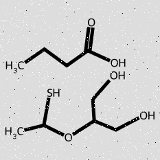 CC(S)OC(CO)CO.CCCC(=O)O